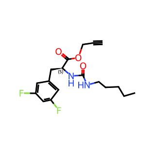 C#CCOC(=O)[C@H](Cc1cc(F)cc(F)c1)NC(=O)NCCCCC